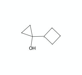 OC1([C]2CCC2)CC1